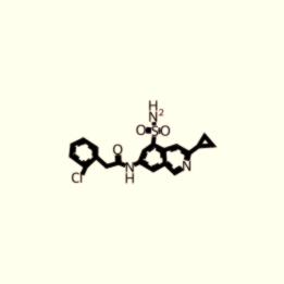 NS(=O)(=O)c1cc(NC(=O)Cc2ccccc2Cl)cc2cnc(C3CC3)cc12